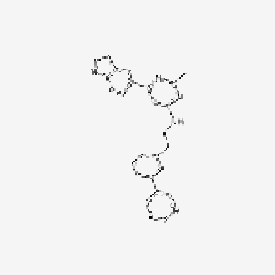 Cc1nc(NCCc2cccc(-c3cccnc3)c2)cc(-c2ccc3ncsc3c2)n1